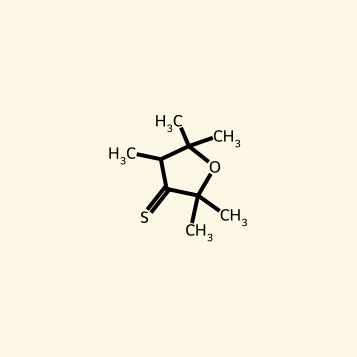 CC1C(=S)C(C)(C)OC1(C)C